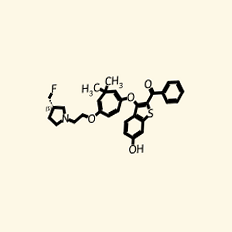 CC1(C)C=C(OCCN2CC[C@H](CF)C2)C=CC(Oc2c(C(=O)c3ccccc3)sc3cc(O)ccc23)=C1